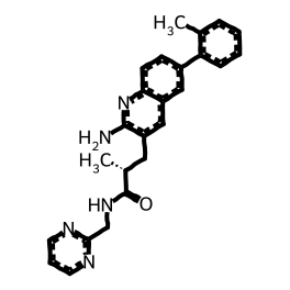 Cc1ccccc1-c1ccc2nc(N)c(C[C@@H](C)C(=O)NCc3ncccn3)cc2c1